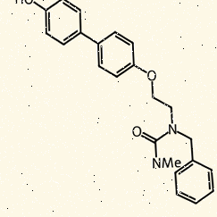 CNC(=O)N(CCOc1ccc(-c2ccc(O)cc2)cc1)Cc1ccccc1